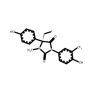 CN1C(=O)N(c2ccc(C#N)c(C(F)(F)F)c2)C(=O)[C@]1(CF)c1ccc(O)cc1